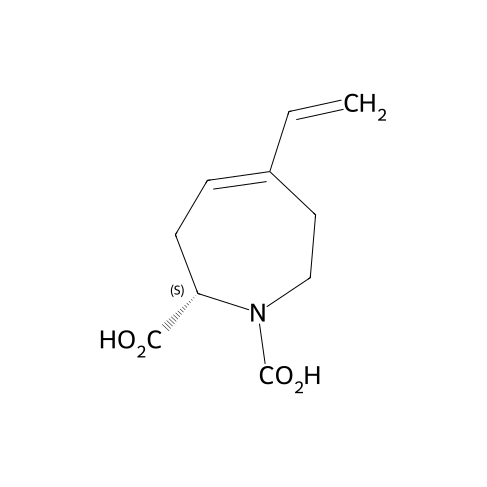 C=CC1=CC[C@@H](C(=O)O)N(C(=O)O)CC1